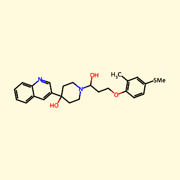 CSc1ccc(OCCC(O)N2CCC(O)(c3cnc4ccccc4c3)CC2)c(C)c1